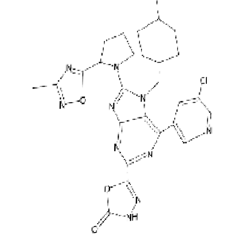 Cc1noc(C2CCCN2c2nc3nc(-c4n[nH]c(=O)o4)nc(-c4cncc(Cl)c4)c3n2CC2CCC(C)CC2)n1